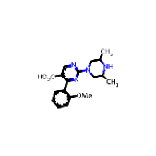 COc1ccccc1-c1nc(N2CC(C)NC(C)C2)ncc1C(=O)O